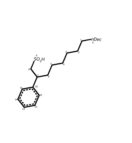 CCCCCCCCCCCCCCCCC(CS(=O)(=O)O)c1ccccc1